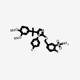 COc1ccc(C(C)(C)c2cnc(SCc3ccc(F)c(S(N)(=O)=O)c3)n2-c2ccc(F)cc2)cc1OC